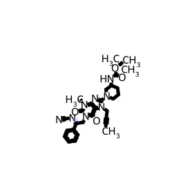 CC#CCn1c(N2CCCC(NC(=O)OC(C)(C)C)C2)nc2c1c(=O)n(C/C(=N/C#N)c1ccccc1)c(=O)n2C